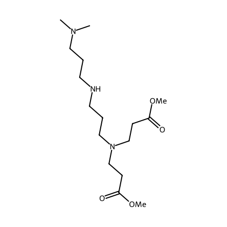 COC(=O)CCN(CCCNCCCN(C)C)CCC(=O)OC